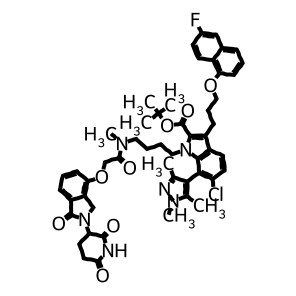 Cc1nn(C)c(C)c1-c1c(Cl)ccc2c(CCCOc3cccc4cc(F)ccc34)c(C(=O)OC(C)(C)C)n(CCCCN(C)C(=O)COc3cccc4c3CN(C3CCC(=O)NC3=O)C4=O)c12